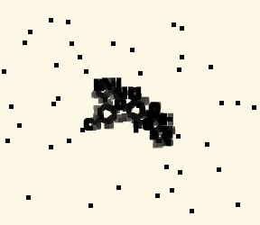 Nc1[nH]ncc1-c1cc(Cl)ccc1Oc1cc(F)c(S(=O)(=O)Nc2nncs2)cc1Cl